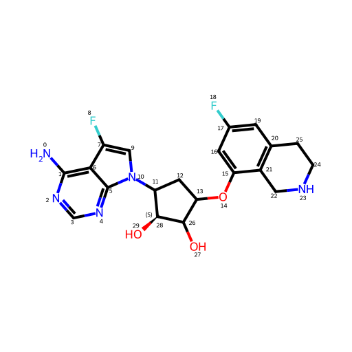 Nc1ncnc2c1c(F)cn2C1CC(Oc2cc(F)cc3c2CNCC3)C(O)[C@H]1O